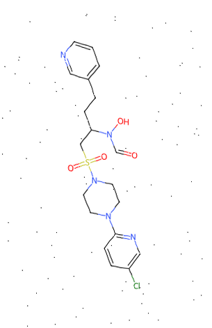 O=CN(O)C(CCc1cccnc1)CS(=O)(=O)N1CCN(c2ccc(Cl)cn2)CC1